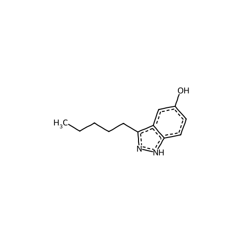 CCCCCc1n[nH]c2ccc(O)cc12